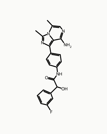 Cc1cnc(N)c2c(-c3ccc(NC(=O)C(O)c4cccc(F)c4)cc3)nc(C)n12